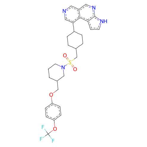 O=S(=O)(CC1CCC(c2cncc3cnc4[nH]ccc4c23)CC1)N1CCCC(COc2ccc(OC(F)(F)F)cc2)C1